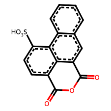 O=C1OC(=O)c2cc3ccccc3c3c(S(=O)(=O)O)ccc1c23